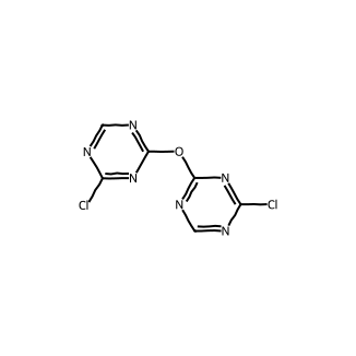 Clc1ncnc(Oc2ncnc(Cl)n2)n1